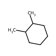 CC1[CH]CCCC1C